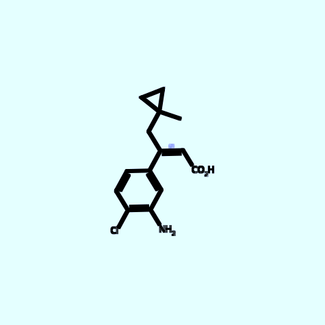 CC1(C/C(=C/C(=O)O)c2ccc(Cl)c(N)c2)CC1